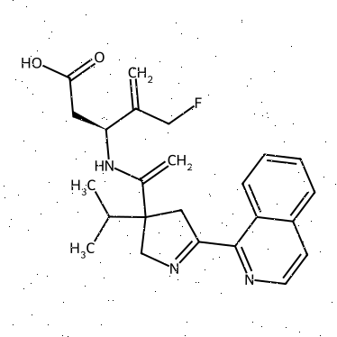 C=C(CF)[C@H](CC(=O)O)NC(=C)C1(C(C)C)CN=C(c2nccc3ccccc23)C1